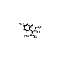 CCN(C(=O)O)C(c1ccc(C#N)cc1F)N(CC)C(=O)O